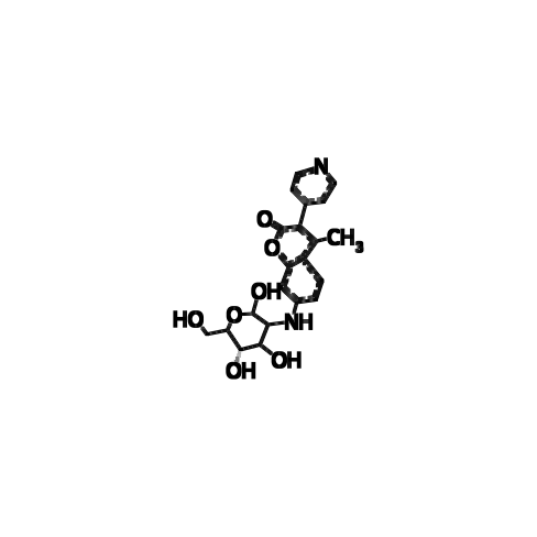 Cc1c(-c2ccncc2)c(=O)oc2cc(NC3C(O)OC(CO)[C@@H](O)C3O)ccc12